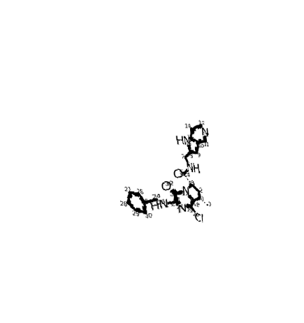 C[C@H]1C[C@@H](C(=O)NCc2cc3cnccc3[nH]2)n2c1c(Cl)nc(NCc1ccccc1)c2=O